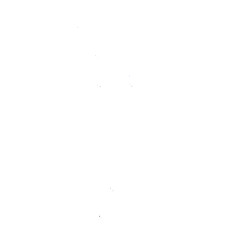 Cc1cc(-c2ccc3oc(N)nc3c2)ccc1/N=C\C(N=O)N1CCN(C)CC1